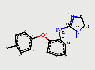 Cc1ccc(Oc2ccccc2NC2=NCCN2)cc1